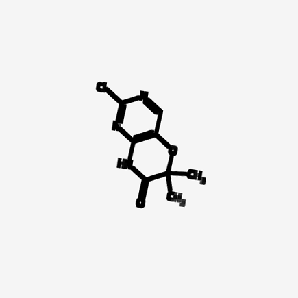 CC1(C)Oc2cnc(Cl)nc2NC1=O